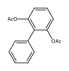 CC(=O)Oc1cccc(OC(C)=O)c1-c1ccccc1